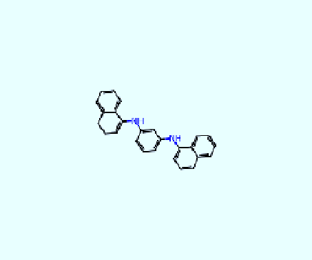 C1=C(Nc2cccc(Nc3cccc4ccccc34)c2)c2ccccc2CC1